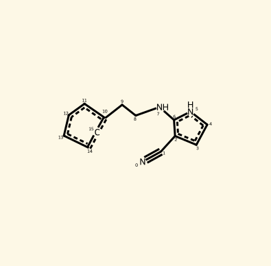 N#Cc1cc[nH]c1NCCc1ccccc1